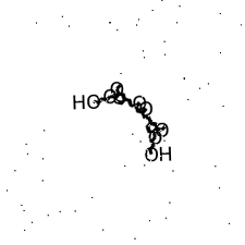 COc1cc(/C=C/C(=O)CC(=O)/C=C/c2ccc(OCCCO)c(OC)c2)ccc1OCCCO